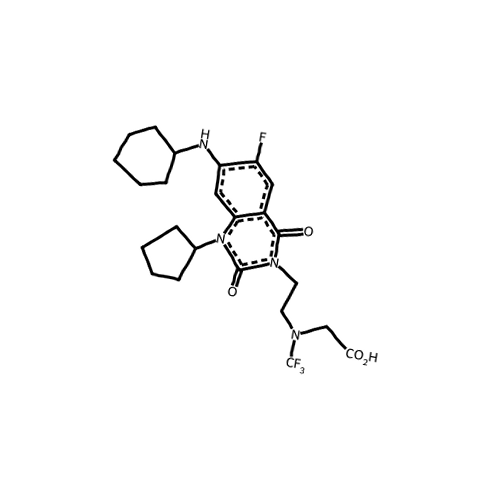 O=C(O)CN(CCn1c(=O)c2cc(F)c(NC3CCCCC3)cc2n(C2CCCC2)c1=O)C(F)(F)F